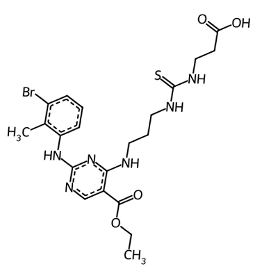 CCOC(=O)c1cnc(Nc2cccc(Br)c2C)nc1NCCCNC(=S)NCCC(=O)O